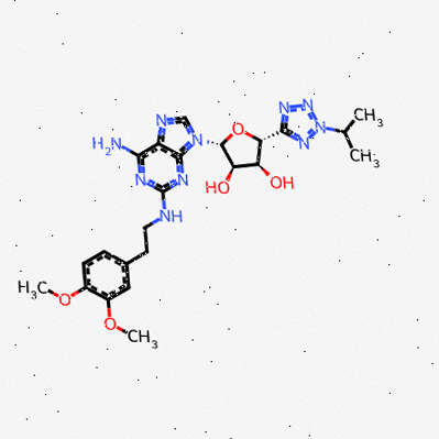 COc1ccc(CCNc2nc(N)c3ncn([C@@H]4O[C@H](c5nnn(C(C)C)n5)[C@@H](O)[C@H]4O)c3n2)cc1OC